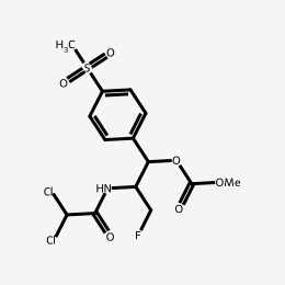 COC(=O)OC(c1ccc(S(C)(=O)=O)cc1)C(CF)NC(=O)C(Cl)Cl